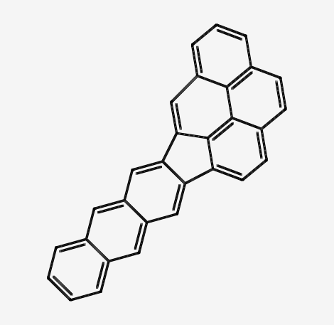 c1ccc2cc3cc4c(cc3cc2c1)-c1ccc2ccc3cccc5cc-4c1c2c35